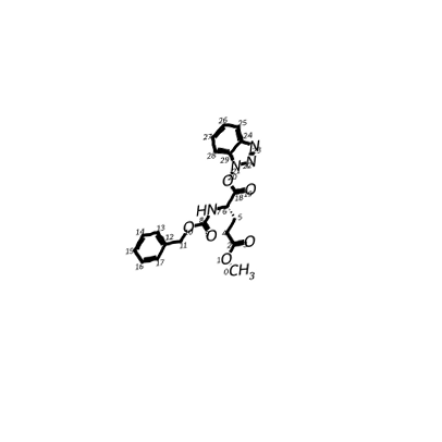 COC(=O)CC[C@H](NC(=O)OCc1ccccc1)C(=O)On1nnc2ccccc21